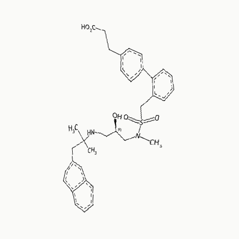 CN(C[C@H](O)CNC(C)(C)Cc1ccc2ccccc2c1)S(=O)(=O)Cc1ccccc1-c1ccc(CCC(=O)O)cc1